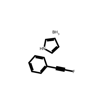 B.FC#Cc1ccccc1.c1cc[nH]c1